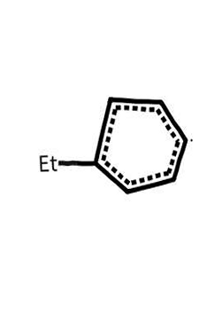 [CH2]Cc1cc[c]cc1